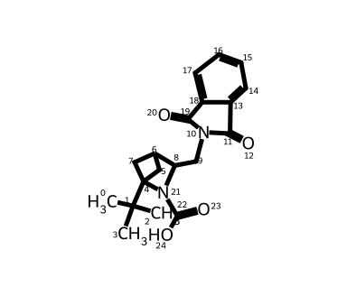 CC(C)(C)C12CC(C1)C(CN1C(=O)c3ccccc3C1=O)N2C(=O)O